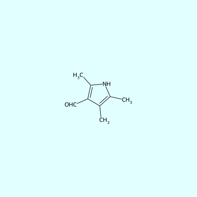 Cc1[nH]c(C)c(C=O)c1C